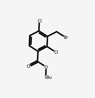 CC(C)(C)OC(=O)c1ccc(Cl)c(CBr)c1Cl